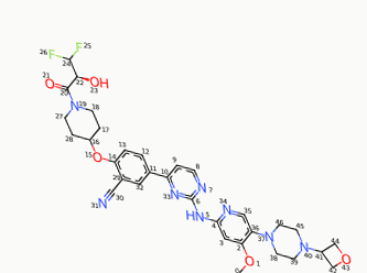 COc1cc(Nc2nccc(-c3ccc(OC4CCN(C(=O)[C@H](O)C(F)F)CC4)c(C#N)c3)n2)ncc1N1CCN(C2COC2)CC1